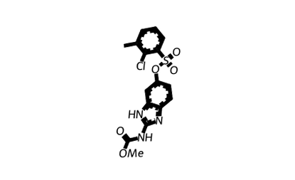 COC(=O)Nc1nc2ccc(OS(=O)(=O)c3cccc(C)c3Cl)cc2[nH]1